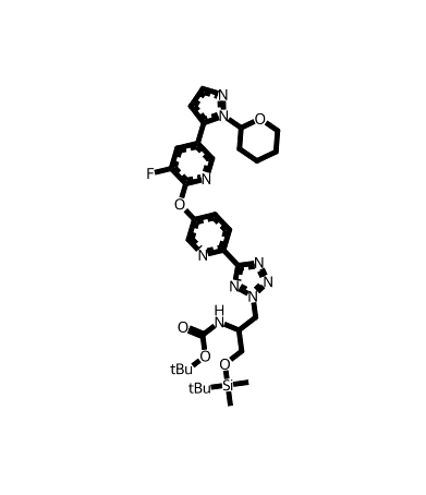 CC(C)(C)OC(=O)NC(CO[Si](C)(C)C(C)(C)C)Cn1nnc(-c2ccc(Oc3ncc(-c4ccnn4C4CCCCO4)cc3F)cn2)n1